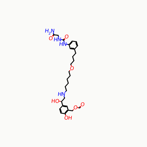 NC(=O)CNC(=O)Nc1cccc(CCCCOCCCCCCNC[C@H](O)c2ccc(O)c(COC=O)c2)c1